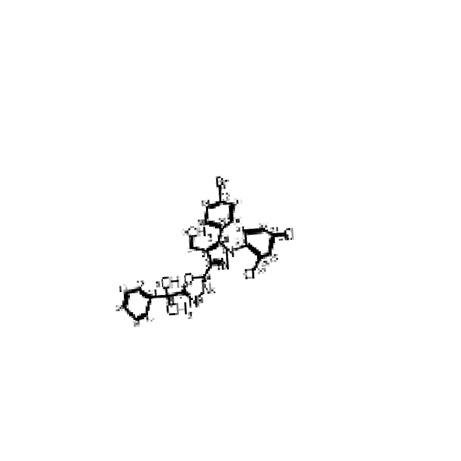 CCc1c(-c2nnc(C(C)(C)c3ccccc3)o2)nn(-c2ccc(Cl)cc2Cl)c1-c1ccc(Br)cc1